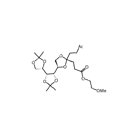 COCCOC(=O)CCC1(CCC(C)=O)OC[C@H]([C@@H]2OC(C)(C)O[C@@H]2[C@@H]2COC(C)(C)O2)O1